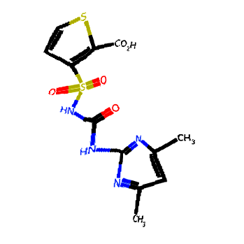 Cc1cc(C)nc(NC(=O)NS(=O)(=O)c2ccsc2C(=O)O)n1